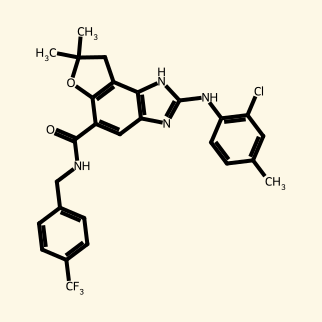 Cc1ccc(Nc2nc3cc(C(=O)NCc4ccc(C(F)(F)F)cc4)c4c(c3[nH]2)CC(C)(C)O4)c(Cl)c1